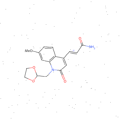 COc1ccc2c(/C=C/C(N)=O)cc(=O)n(CC3OCCO3)c2c1